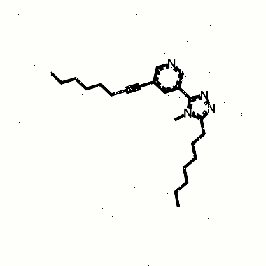 CCCCCCC#Cc1cncc(-c2nnc(CCCCCCC)n2C)c1